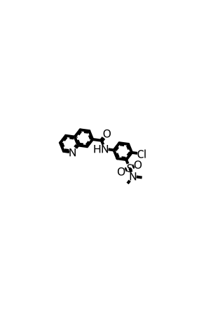 CN(C)S(=O)(=O)c1cc(NC(=O)c2ccc3cccnc3c2)ccc1Cl